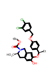 CC[C@@H](Oc1cc2c(cc1O)C[C@@H](C(=O)O)N(C(=O)OC(C)(C)C)C2)c1ccc(OCc2ccc(Cl)c(Cl)c2)cc1